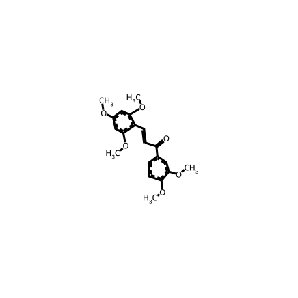 COc1cc(OC)c(/C=C/C(=O)c2ccc(OC)c(OC)c2)c(OC)c1